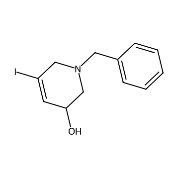 OC1C=C(I)CN(Cc2ccccc2)C1